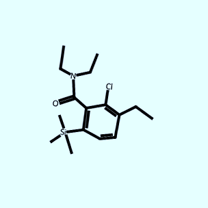 CCc1ccc([Si](C)(C)C)c(C(=O)N(CC)CC)c1Cl